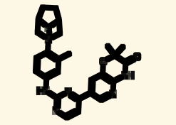 Cc1cc(Nc2nccc(-c3cnc4c(c3)OC(C)(C)C(=O)N4)n2)ccc1N1CC2CCC(C1)N2C